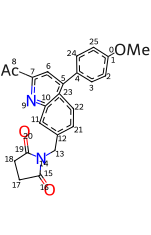 COc1ccc(-c2cc(C(C)=O)nc3cc(CN4C(=O)CCC4=O)ccc23)cc1